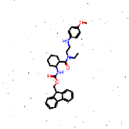 CCN(CCNc1ccc(OC)cc1)C(=O)C1CCCCC1NC(=O)OCC1c2ccccc2-c2ccccc21